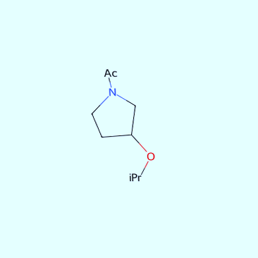 CC(=O)N1CCC(OC(C)C)C1